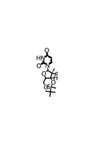 CC(C)(C)[Si]1(C)OCC2O[C@@H](n3ccc(=O)[nH]c3=O)[C@](C)(F)[C@@H]2O1